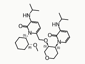 CO[C@@H]1CCCC[C@@H]1n1c(CO[C@@H]2COCC[C@@H]2n2cccc(NC(C)C)c2=O)ccc(NC(C)C)c1=O